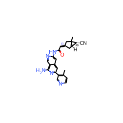 Cc1ccncc1-c1cc2cc(NC(=O)/C=C3\C[C@@H]4[C@@H](C#N)C4(C)C3)ncc2c(N)n1